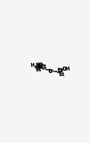 CCC(CC)(CCO)CCCCOCCCCC(CC)(CC)S(N)(=O)=O